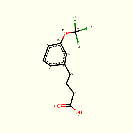 O=C(O)CCCc1c[c]cc(OC(F)(F)F)c1